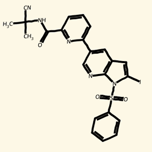 CC(C)(C#N)NC(=O)c1cccc(-c2cnc3c(c2)cc(I)n3S(=O)(=O)c2ccccc2)n1